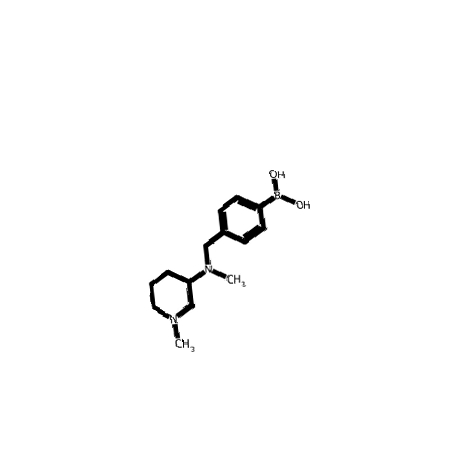 CN1CCCC(N(C)Cc2ccc(B(O)O)cc2)C1